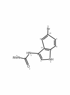 CNC(=O)Nc1c[nH]c2ccc(Br)cc12